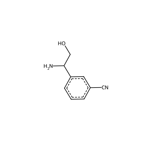 N#Cc1cccc(C(N)CO)c1